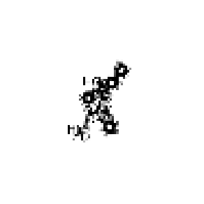 CC(=O)NCCOC(=O)C(CN(CC(C)C)C(=O)N[C@@](Cc1ccccc1)(Cc1ccc(-c2ccccc2)cc1)C(=O)O)OCc1ccccc1